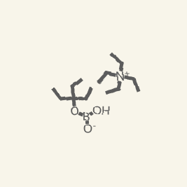 CCC(CC)(CC)OB([O-])O.CC[N+](CC)(CC)CC